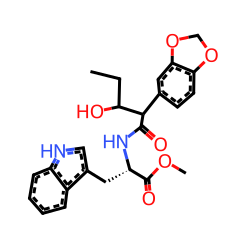 CCC(O)C(C(=O)N[C@@H](Cc1c[nH]c2ccccc12)C(=O)OC)c1ccc2c(c1)OCO2